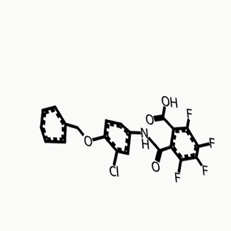 O=C(O)c1c(F)c(F)c(F)c(F)c1C(=O)Nc1ccc(OCc2ccccc2)c(Cl)c1